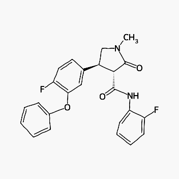 CN1C[C@H](c2ccc(F)c(Oc3ccccc3)c2)[C@@H](C(=O)Nc2ccccc2F)C1=O